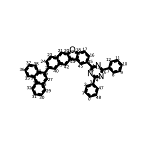 c1ccc(-c2nc(-c3ccccc3)nc(-c3ccc4oc5cc6ccc(-c7cc8ccccc8c8ccccc78)cc6cc5c4c3)n2)cc1